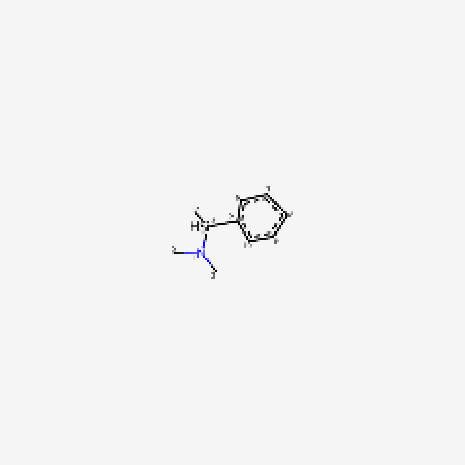 CN(C)[SiH](C)c1ccccc1